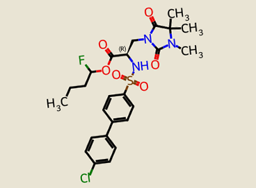 CCCC(F)OC(=O)[C@@H](CN1C(=O)N(C)C(C)(C)C1=O)NS(=O)(=O)c1ccc(-c2ccc(Cl)cc2)cc1